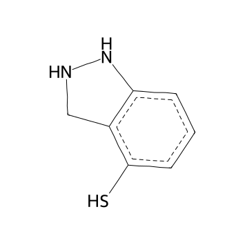 Sc1cccc2c1CNN2